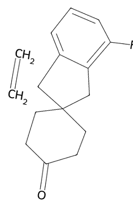 C=C.O=C1CCC2(CC1)Cc1cccc(F)c1C2